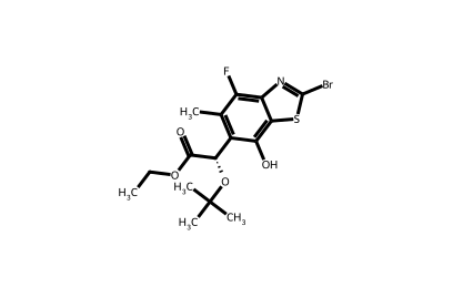 CCOC(=O)[C@@H](OC(C)(C)C)c1c(C)c(F)c2nc(Br)sc2c1O